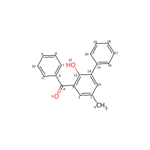 Cc1cc(C(=O)c2ccccc2)c(O)c(-c2ccccc2)c1